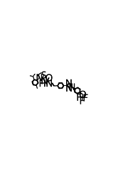 Cc1ccc(C(C)C)c(N2CCS/C2=N\C(=O)N/C=C/c2ccc(-c3ncn(-c4ccc(OC(F)(F)F)cc4)n3)cc2)c1